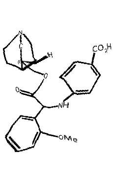 COc1ccccc1C(Nc1ccc(C(=O)O)cc1)C(=O)O[C@H]1CN2CCC1CC2